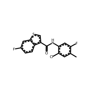 Cc1cc(Cl)c(NC(=O)c2csc3cc(F)ccc23)cc1F